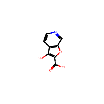 O=C(O)c1oc2cnccc2c1O